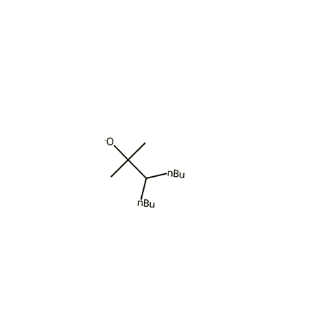 CCCCC(CCCC)C(C)(C)[O]